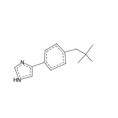 CC(C)(C)Cc1ccc(-c2c[nH]cn2)cc1